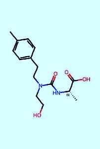 Cc1ccc(CCN(CCO)C(=O)N[C@@H](C)C(=O)O)cc1